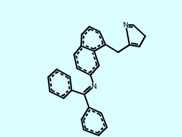 C1=NC(Cc2cccc3ccc(N=C(c4ccccc4)c4ccccc4)cc23)=CC1